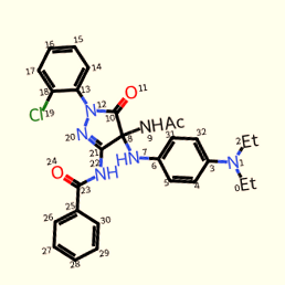 CCN(CC)c1ccc(NC2(NC(C)=O)C(=O)N(c3ccccc3Cl)N=C2NC(=O)c2ccccc2)cc1